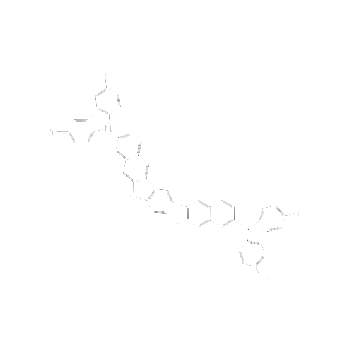 CC(C)c1ccc2c(c1)c1cc(C(C)C)ccc1n2-c1ccc2cc3c(cc2c1)oc1cc2oc4cc5cc(-n6c7ccc(C(C)C)cc7c7cc(C(C)C)ccc76)ccc5cc4c2cc13